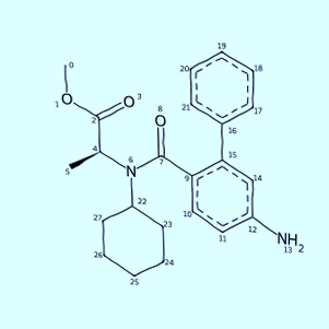 COC(=O)[C@H](C)N(C(=O)c1ccc(N)cc1-c1ccccc1)C1CCCCC1